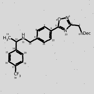 CCCCCCCCCCCc1noc(-c2ccc(CNC(C)c3ccc(C(F)(F)F)cc3)cc2)n1